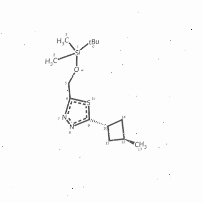 CC(C)(C)[Si](C)(C)OCc1nnc([C@H]2C[C@H](C)C2)s1